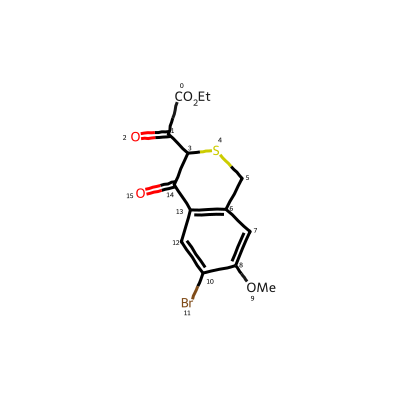 CCOC(=O)C(=O)C1SCc2cc(OC)c(Br)cc2C1=O